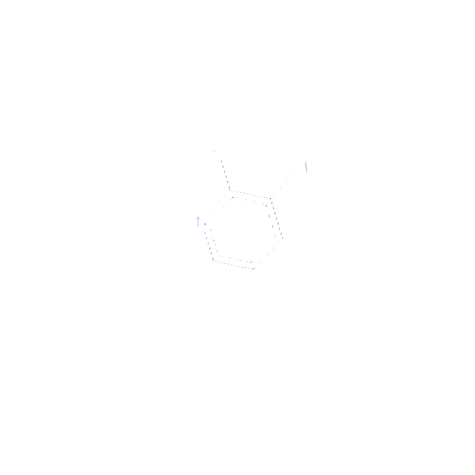 FC(F)(F)c1[c]ccnc1C(F)(F)F